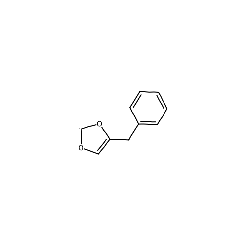 [CH]1OC=C(Cc2ccccc2)O1